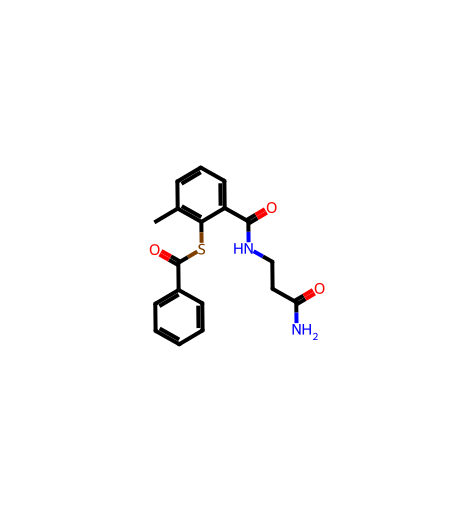 Cc1cccc(C(=O)NCCC(N)=O)c1SC(=O)c1ccccc1